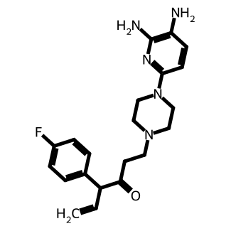 C=CC(C(=O)CCN1CCN(c2ccc(N)c(N)n2)CC1)c1ccc(F)cc1